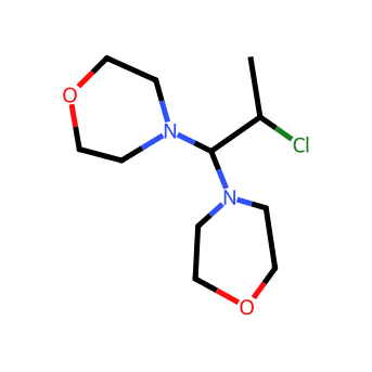 CC(Cl)C(N1CCOCC1)N1CCOCC1